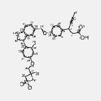 CC#CC(CC(=O)O)c1ccc(OCc2ccc3scc(-c4ccc(OCC5(C)CS(=O)(=O)C5)cc4C)c3c2)cc1